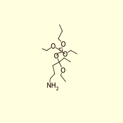 CCCO[Si](OCC)(OCC)OC(CC)(CCCN)OCC